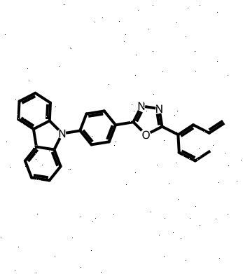 C=C/C=C(\C=C/C)c1nnc(-c2ccc(-n3c4ccccc4c4ccccc43)cc2)o1